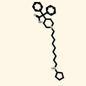 NC(=O)C(c1ccccc1)(c1ccccc1)C1CCN(CCCCCCCCCNC2CCCC2)CC1